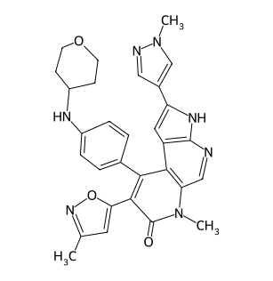 Cc1cc(-c2c(-c3ccc(NC4CCOCC4)cc3)c3c4cc(-c5cnn(C)c5)[nH]c4ncc3n(C)c2=O)on1